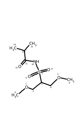 COCC(COC)S(=O)(=O)NC(=O)C(C)C